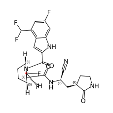 N#C[C@@H](C[C@H]1CCNC1=O)NC(=O)[C@H]1[C@@H]2CC[C@@H](CC2(F)F)N1C(=O)c1cc2c(C(F)F)cc(F)cc2[nH]1